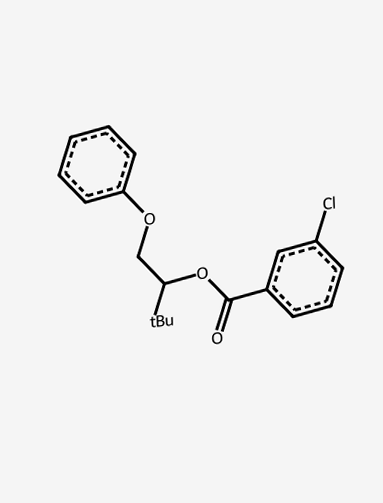 CC(C)(C)C(COc1ccccc1)OC(=O)c1cccc(Cl)c1